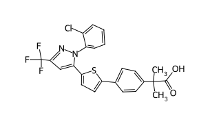 CC(C)(C(=O)O)c1ccc(-c2ccc(-c3cc(C(F)(F)F)nn3-c3ccccc3Cl)s2)cc1